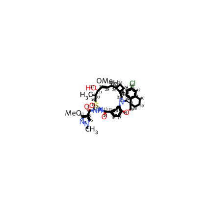 COc1nn(C)cc1C(=O)N[S@@]1(=O)=NC(=O)c2ccc3c(c2)N(C[C@@H]2CC[C@H]2[C@@H](OC)/C=C/[C@@H](O)[C@H](C)C1)C[C@@]1(CCCc2cc(Cl)ccc21)CO3